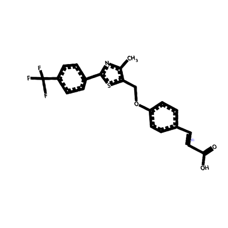 Cc1nc(-c2ccc(C(F)(F)F)cc2)sc1COc1ccc(/C=C/C(=O)O)cc1